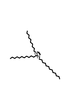 CCCCCCCCCCCCCN1C=CN(CCCCCCCCCC)C1CCCCCCCCCCC